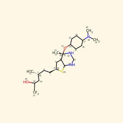 C[C@H](CC[C@H]1CC2C(NCN[C@@]2(C)OC2CCC(N(C)C)CC2)S1)CC(O)C(F)(F)F